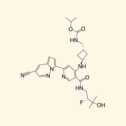 CC(C)OC(=O)NC[C@H]1C[C@H](Nc2cc(-c3ccc4cc(C#N)cnn34)ncc2C(=O)NC[C@@H](F)C(C)(C)O)C1